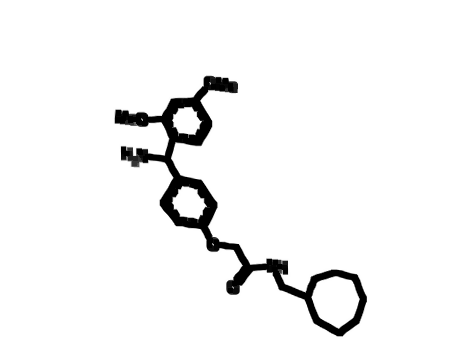 COc1ccc(C(N)c2ccc(OCC(=O)NCC3CCCCCCC3)cc2)c(OC)c1